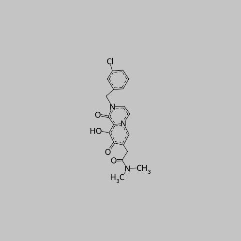 CN(C)C(=O)Cc1cn2ccn(Cc3cccc(Cl)c3)c(=O)c2c(O)c1=O